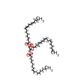 CCCCC/C=C\C/C=C\CCCCCCCC(=O)OCC(COC(=O)CCCCCCC/C=C\CCCCCCCC)OC(=O)CCCCCCC/C=C\C/C=C\CCCCC